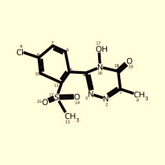 Cc1nnc(-c2ccc(Cl)cc2S(C)(=O)=O)n(O)c1=O